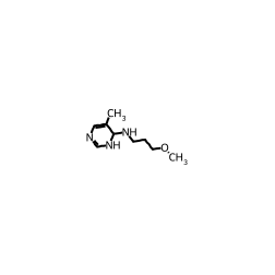 COCCCNC1NC=NC=C1C